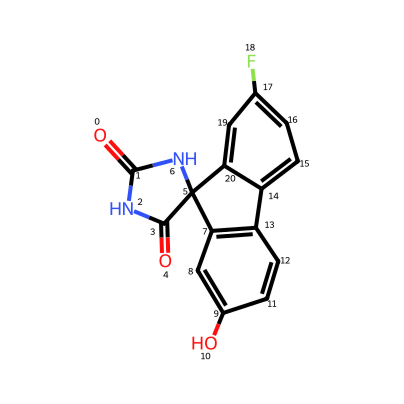 O=C1NC(=O)C2(N1)c1cc(O)ccc1-c1ccc(F)cc12